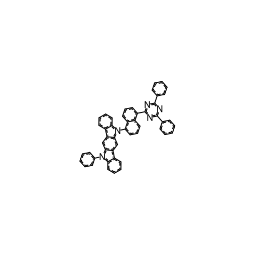 c1ccc(-c2nc(-c3ccccc3)nc(-c3cccc4c(-n5c6ccccc6c6cc7c(cc65)c5ccccc5n7-c5ccccc5)cccc34)n2)cc1